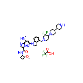 CNc1cc(N2CCc3c(CN4CCC(N5CCC(C6CCNCC6)CC5)C(F)(F)C4)cccc32)nn2c(C(=O)N[C@@H]3CC[C@H]3OC)cnc12.O=C(O)C(F)(F)F